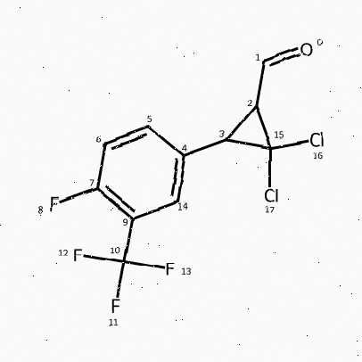 O=CC1C(c2ccc(F)c(C(F)(F)F)c2)C1(Cl)Cl